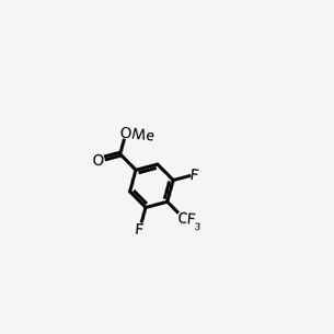 COC(=O)c1cc(F)c(C(F)(F)F)c(F)c1